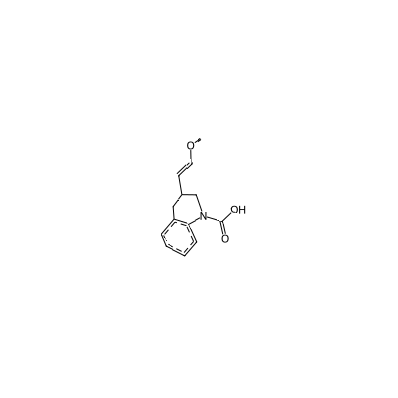 COC=CC1Cc2ccccc2N(C(=O)O)C1